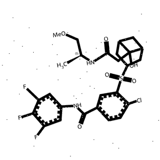 COC[C@H](C)NC(=O)CC1(O)C2CC1CC(S(=O)(=O)c1cc(C(=O)Nc3cc(F)c(F)c(F)c3)ccc1Cl)C2